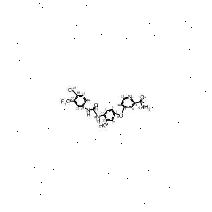 NC(=O)c1cc(Oc2ccc(NC(=O)Nc3ccc(Cl)c(C(F)(F)F)c3)c(O)c2)ccn1